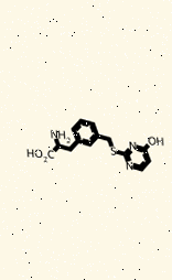 NC(Cc1cccc(CSc2nccc(O)n2)c1)C(=O)O